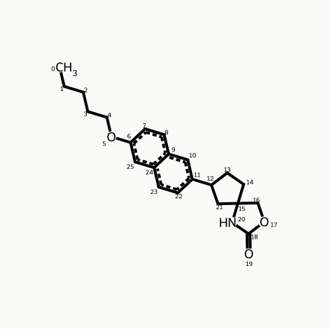 CCCCCOc1ccc2cc(C3CCC4(COC(=O)N4)C3)ccc2c1